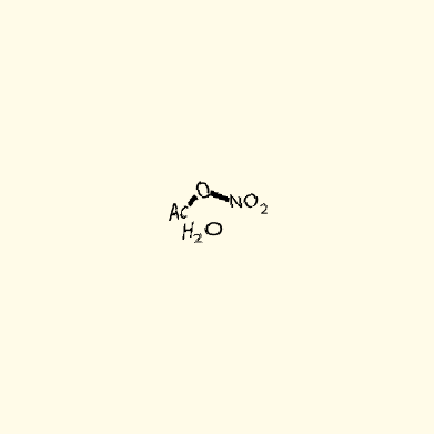 CC(=O)O[N+](=O)[O-].O